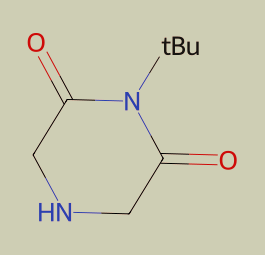 CC(C)(C)N1C(=O)CNCC1=O